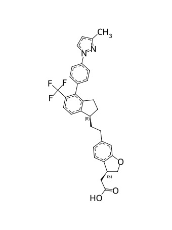 Cc1ccn(-c2ccc(-c3c(C(F)(F)F)ccc4c3CC[C@H]4CCc3ccc4c(c3)OC[C@H]4CC(=O)O)cc2)n1